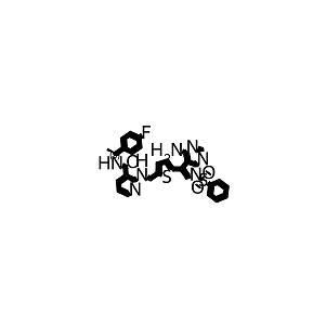 C[C@H](NC(=O)c1cccnc1NCc1ccc(-c2cn(S(=O)(=O)c3ccccc3)c3ncnc(N)c23)s1)c1ccc(F)cc1